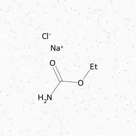 CCOC(N)=O.[Cl-].[Na+]